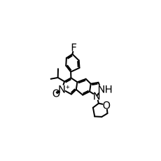 CC(C)c1c(-c2ccc(F)cc2)c2cc3c[nH]n(C4CCCCO4)c3cc2c[n+]1=O